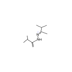 C=C(N/N=C(\C)C(C)C)C(C)C